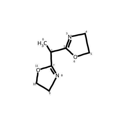 CC(C1=NCCO1)C1=NCCO1